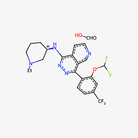 CCN1CCC[C@@H](Nc2nnc(-c3ccc(C(F)(F)F)cc3OC(F)F)c3cnccc23)C1.O=CO